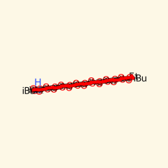 CCCCC(CC)COC(=O)CCCCCOC(=O)CCCCCOC(=O)CCCCCOC(=O)CCCCCOC(=O)CCCCCOC(=O)CCCCCOC(=O)CCCCCOC(=O)CCCCCOC(=O)CCCCCOC(=O)CCCCCOC(=O)CCCCCOC(=O)CCCCCOC(=O)NCCOC(=O)C(C)CC